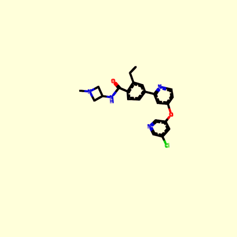 CCc1cc(-c2cc(Oc3cncc(Cl)c3)ccn2)ccc1C(=O)NC1CN(C)C1